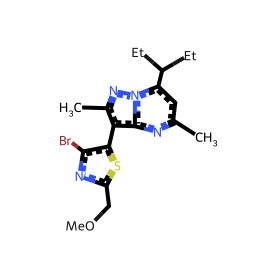 CCC(CC)c1cc(C)nc2c(-c3sc(COC)nc3Br)c(C)nn12